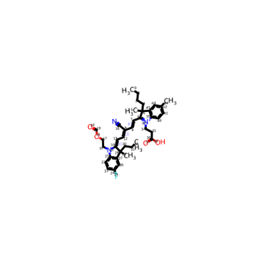 CCCCC1(C)C(/C=C/C(C#N)=C/C=C2/N(CCOC=O)c3ccc(F)cc3C2(C)CCC)=[N+](CCC(=O)O)c2ccc(C)cc21